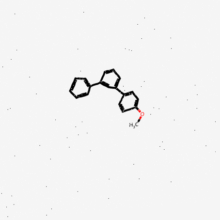 COc1ccc(-c2cccc(-c3ccccc3)c2)cc1